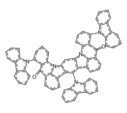 O=c1c2cccc3c4c(-n5c6ccccc6c6ccccc65)c5c6cccc7c(=O)c8c(-n9c%10ccccc%10c%10ccccc%109)cccc8n(c5cc4n(c4cccc(-n5c8ccccc8c8ccccc85)c14)c23)c76